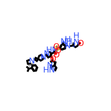 CC(C)c1ccccc1[C@@H]1CCCN1C1CC2(CCN(c3cc(Oc4cnc5[nH]ccc5c4)c(C(=O)NS(=O)(=O)c4ccc(NCC5CCC(=O)NC5)c(N)c4)cn3)CC2)C1